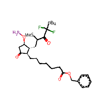 CCCCC(F)(F)C(=O)C(C[C@H]1[C@H](OP)CC(=O)[C@@H]1CCCCCCC(=O)OCc1ccccc1)SC